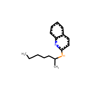 CCCCCC(C)Pc1ccc2ccccc2n1